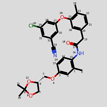 Cc1cc(OC[C@@H]2COC(C)(C)O2)ccc1NC(=O)Cc1ccc(C)c(Oc2cc(Cl)cc(C#N)c2)c1